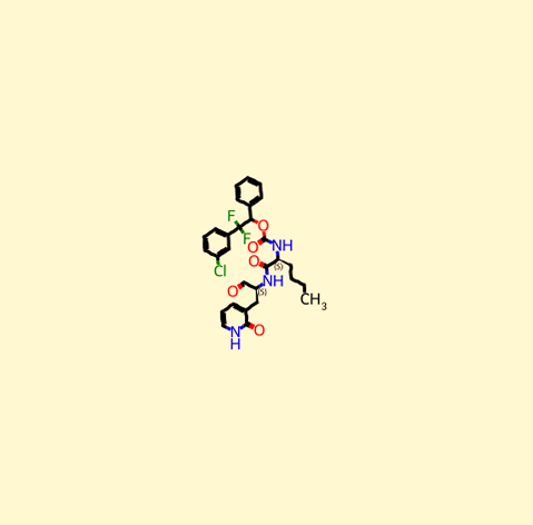 CCCC[C@H](NC(=O)OC(c1ccccc1)C(F)(F)c1cccc(Cl)c1)C(=O)N[C@H](C=O)Cc1ccc[nH]c1=O